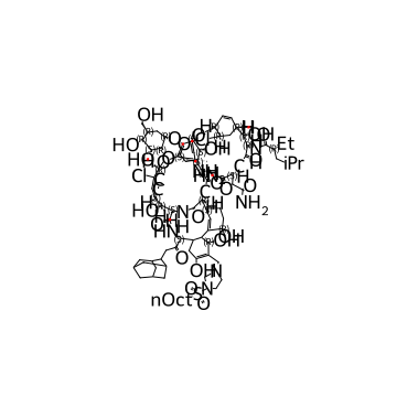 CCCCCCCCS(=O)(=O)N1CCN(CC2=C(O)CC3C(C4=C[C@H](CC[C@H]4O)[C@H]4CC(=O)[C@@H]5NC(=O)[C@H](CC(N)=O)CC(=O)[C@H](NC(=O)[C@H](CC)CC(C)C)[C@H](O)[C@H]6C=C[C@@H](Oc7cc5cc(c7O[C@@H]5C[C@H](CO)[C@@H](O)[C@H](O)[C@H]5O[C@H]5C[C@](C)(N)[C@H](O)[C@H](C)O5)O[C@@H]5CC[C@@H](C=C5Cl)[C@@H](O)[C@H](NC4=O)C(=O)N[C@@H]3C(=O)CC3C4CC5CC(C4)CC3C5)[C@H](Cl)C6)[C@H]2O)C1